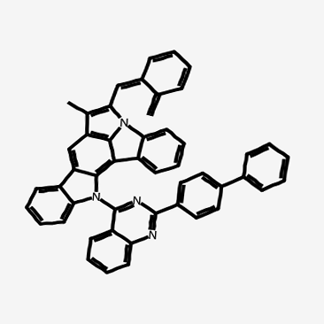 C=c1cccc/c1=C/c1c(C)c2cc3c4ccccc4n(-c4nc(-c5ccc(-c6ccccc6)cc5)nc5ccccc45)c3c3c4ccccc4n1c23